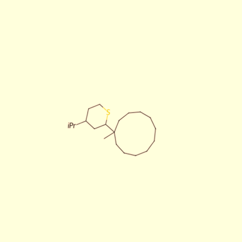 CC(C)C1CCSC(C2(C)CCCCCCCCCC2)C1